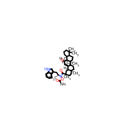 CCCC(=O)ON(C(=O)C1(C)CC[C@]2(C)CC[C@]3(C)C(=CC(=O)C4[C@@]5(C)CCCC(C)(C)C5CC[C@]43C)[C@@H]2C1)[C@@H](Cc1c[nH]c2ccccc12)C(=O)O